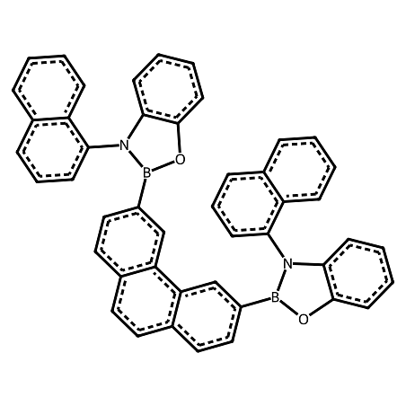 c1ccc2c(c1)OB(c1ccc3ccc4ccc(B5Oc6ccccc6N5c5cccc6ccccc56)cc4c3c1)N2c1cccc2ccccc12